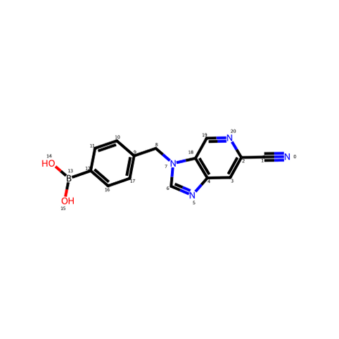 N#Cc1cc2ncn(Cc3ccc(B(O)O)cc3)c2cn1